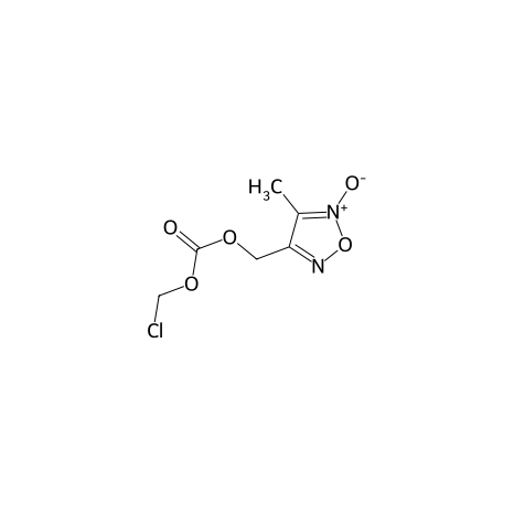 Cc1c(COC(=O)OCCl)no[n+]1[O-]